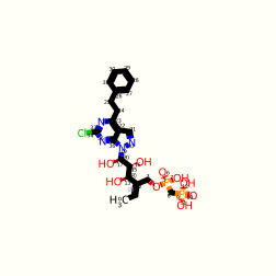 C/C=C(/COP(=O)(O)CP(=O)(O)O)[C@@H](O)[C@@H](O)[C@@H](O)n1ncc2c(CCc3ccccc3)nc(Cl)nc21